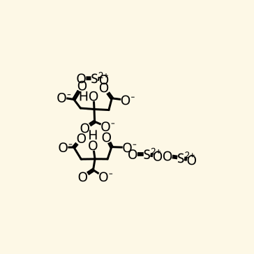 O=C([O-])CC(O)(CC(=O)[O-])C(=O)[O-].O=C([O-])CC(O)(CC(=O)[O-])C(=O)[O-].O=[S+2]=O.O=[S+2]=O.O=[S+2]=O